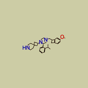 COc1ccc2c(c1)C(CN1CCN(C3CC4(CCNCC4)C3)[C@H](c3ccccc3C(C)C)C1)C2